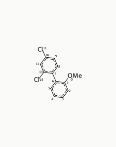 COc1ccccc1-c1ccc(Cl)cc1Cl